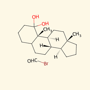 C[C@@]12CCC[C@H]1[C@@H]1CCC3CCCC(O)(O)[C@]3(C)[C@H]1CC2.O=CBr